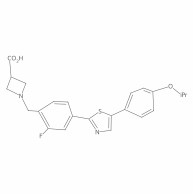 CC(C)Oc1ccc(-c2cnc(-c3ccc(CN4CC(C(=O)O)C4)c(F)c3)s2)cc1